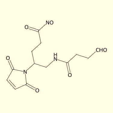 O=CCCC(=O)NCC(CCC(=O)N=O)N1C(=O)C=CC1=O